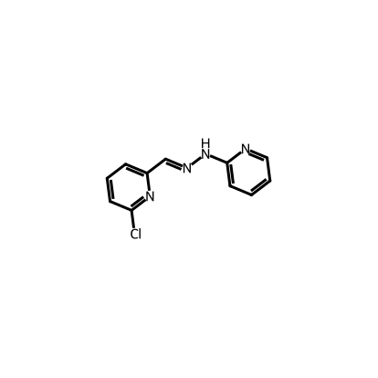 Clc1cccc(C=NNc2ccccn2)n1